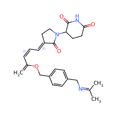 C=C(/C=C\C=C1/CCN(C2CCC(=O)NC2=O)C1=O)OCc1ccc(CN=C(C)C)cc1